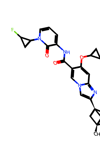 C[C@]12C[C@](c3cn4cc(C(=O)Nc5cccn(C6CC6F)c5=O)c(OC5CC5)cc4n3)(CO1)C2